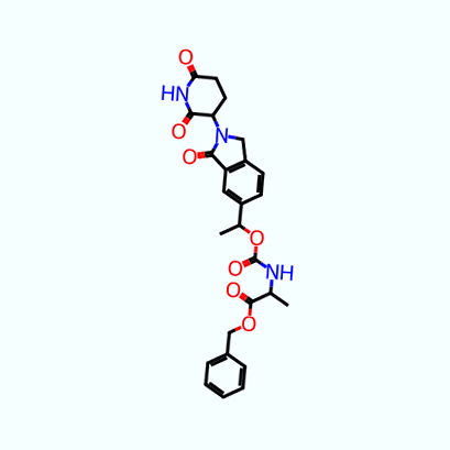 CC(NC(=O)OC(C)c1ccc2c(c1)C(=O)N(C1CCC(=O)NC1=O)C2)C(=O)OCc1ccccc1